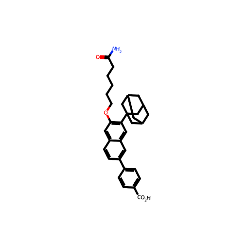 NC(=O)CCCCCOc1cc2ccc(-c3ccc(C(=O)O)cc3)cc2cc1C12CC3CC(CC(C3)C1)C2